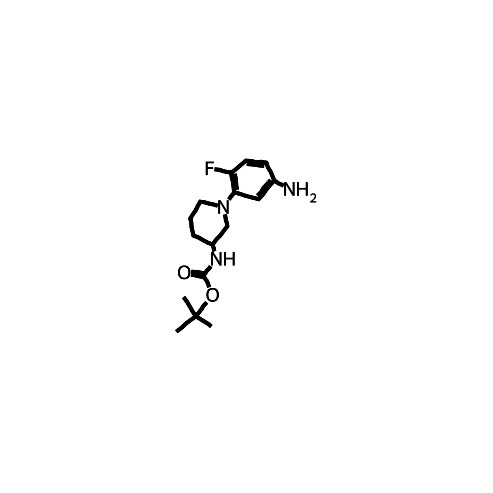 CC(C)(C)OC(=O)NC1CCCN(c2cc(N)ccc2F)C1